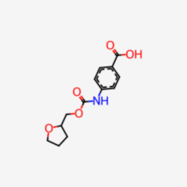 O=C(Nc1ccc(C(=O)O)cc1)OCC1CCCO1